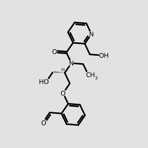 CCN(C(=O)c1cccnc1CO)[C@@H](CO)COc1ccccc1C=O